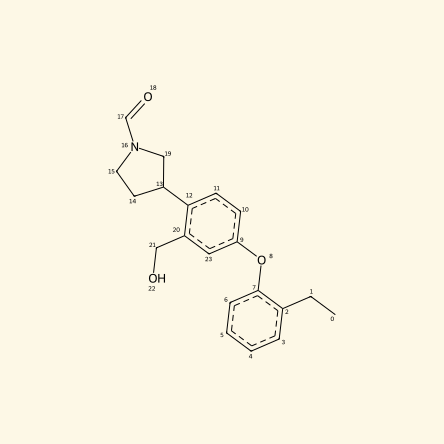 CCc1ccccc1Oc1ccc(C2CCN(C=O)C2)c(CO)c1